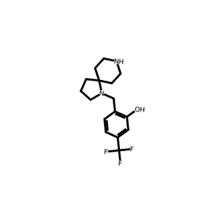 Oc1cc(C(F)(F)F)ccc1CN1CCCC12CCNCC2